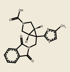 Cc1csc(C2(CN3C(=O)c4ccccc4C3=O)[C@@H]3CN(C(=O)O)C[C@@H]32)n1